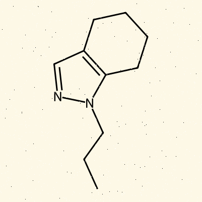 CCCn1ncc2c1CCCC2